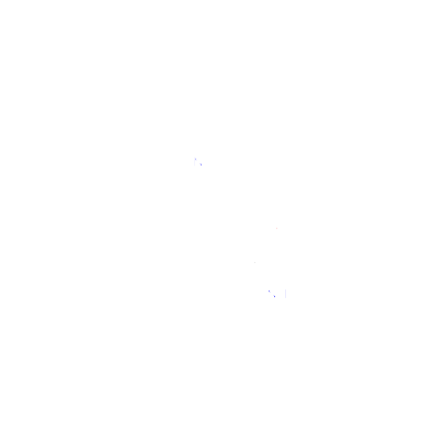 NC(=O)c1ccccc1-c1ccc[c]n1